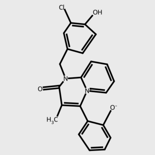 Cc1c(-c2ccccc2[O-])[n+]2ccccc2n(Cc2ccc(O)c(Cl)c2)c1=O